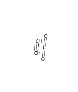 C#C.O=C=O